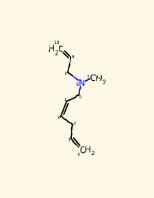 C=CC/C=C\CN(C)CC=C